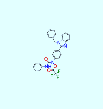 O=C(Nc1ccccc1)N(OC(=O)C(F)(F)F)c1ccc(-c2nc3ccccc3n2Cc2ccccc2)cc1